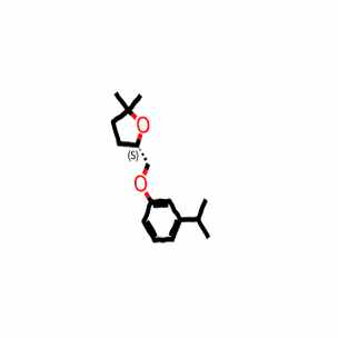 CC(C)c1cccc(OC[C@@H]2CCC(C)(C)O2)c1